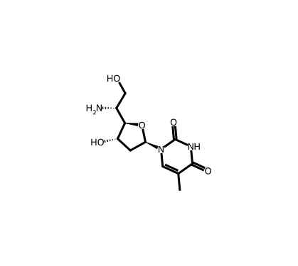 Cc1cn([C@H]2C[C@H](O)[C@@H]([C@H](N)CO)O2)c(=O)[nH]c1=O